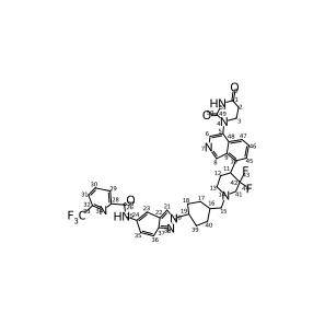 O=C1CCN(c2cncc3c(C4CCN(CC5CCC(n6cc7cc(NC(=O)c8cccc(C(F)(F)F)n8)ccc7n6)CC5)CC4(F)F)cccc23)C(=O)N1